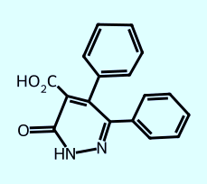 O=C(O)c1c(-c2ccccc2)c(-c2ccccc2)n[nH]c1=O